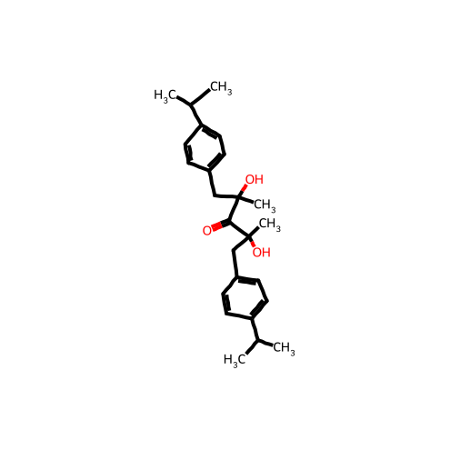 CC(C)c1ccc(CC(C)(O)C(=O)C(C)(O)Cc2ccc(C(C)C)cc2)cc1